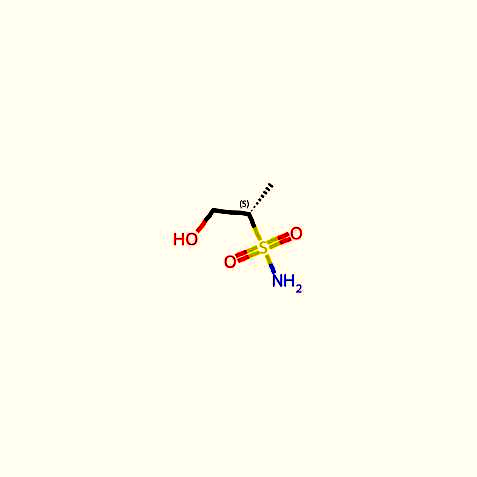 C[C@@H](CO)S(N)(=O)=O